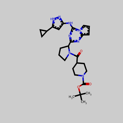 CC(C)(C)OC(=O)N1CCC(C(=O)N2CCCC2c2nc(Nc3cc(C4CC4)[nH]n3)n3cccc3n2)CC1